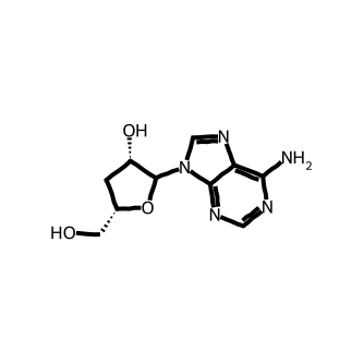 Nc1ncnc2c1ncn2C1O[C@H](CO)C[C@@H]1O